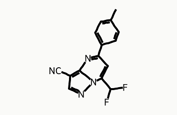 Cc1ccc(-c2cc(C(F)F)n3ncc(C#N)c3n2)cc1